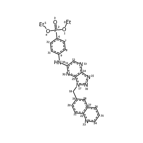 CCOP(=O)(OCC)c1ccc(Nc2cnc3nnn(Cc4ccc5ncccc5c4)c3n2)cc1